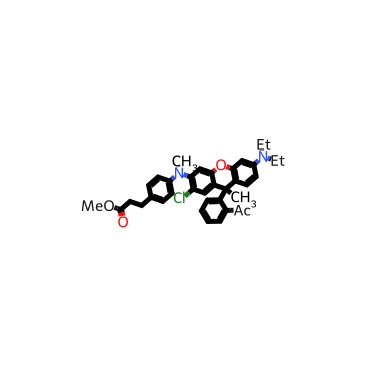 CCN(CC)c1ccc2c(c1)Oc1cc(N(C)c3ccc(CCC(=O)OC)cc3)c(Cl)cc1C2(C)c1ccccc1C(C)=O